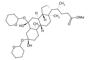 COC(=O)CC[C@@H](C)[C@H]1CC[C@H]2[C@@H]3C[C@@](O)(OC4CCCCO4)C4C[C@@](O)(OC5CCCCO5)CC[C@]4(C)[C@H]3CC[C@]12C